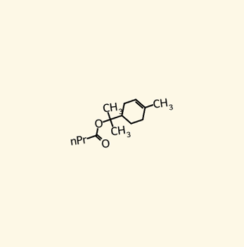 CCCC(=O)OC(C)(C)C1CC=C(C)CC1